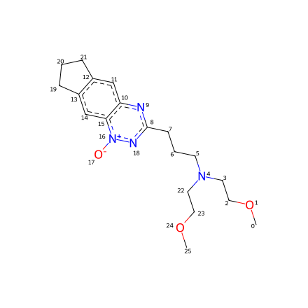 COCCN(CCCc1nc2cc3c(cc2[n+]([O-])n1)CCC3)CCOC